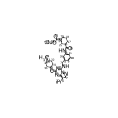 CC(C)c1cnn2c(NCc3cccc(NC(=O)C4CCCN(C(=O)OC(C)(C)C)C4)c3)nc(OC3CCN(C)CC3)nc12